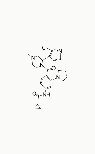 CN1CCN(C(=O)c2ccc(NC(=O)C3CC3)cc2N2CCCC2)C(c2ccncc2Cl)C1